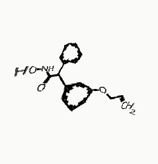 C=CCOc1cccc(C(C(=O)NO)c2ccccc2)c1